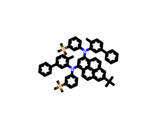 Cc1ccc(-c2ccccc2)cc1N(c1cccc(S(C)(C)C)c1)c1cc(N(c2cccc(S(C)(C)C)c2)c2cc(-c3ccccc3)ccc2C)c2ccc3cc(C(C)(C)C)cc4ccc1c2c43